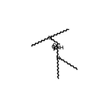 CCCCCCCCCCCCN(CCCCCCCCCCCC)CCCCC(C)C(=O)NC(CCCCN(CCCCCCCCCCCC)CCCCCCCCCCCC)C(C)=O